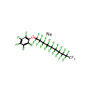 Fc1c(F)c(F)c(OC(F)(F)C(F)(F)C(F)(F)C(F)(F)C(F)(F)C(F)(F)C(F)(F)C(F)(F)C(F)(F)C(F)(F)F)c(F)c1F.[Na]